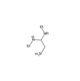 CCNC(C[SiH3])NCC